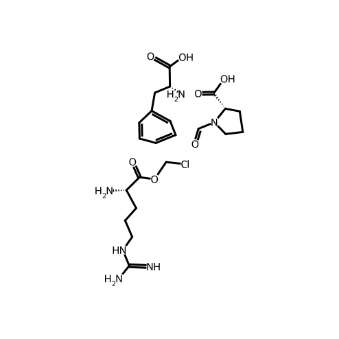 N=C(N)NCCC[C@H](N)C(=O)OCCl.N[C@H](Cc1ccccc1)C(=O)O.O=CN1CCC[C@H]1C(=O)O